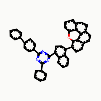 c1ccc(-c2ccc(-c3nc(-c4ccccc4)nc(-c4ccc(-c5ccc6ccc7ccc8cccc9c8c7c6c5O9)c5ccccc45)n3)cc2)cc1